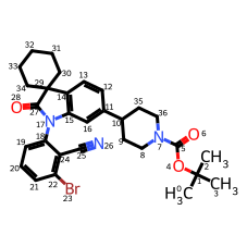 CC(C)(C)OC(=O)N1CCC(c2ccc3c(c2)N(c2cccc(Br)c2C#N)C(=O)C32CCCCC2)CC1